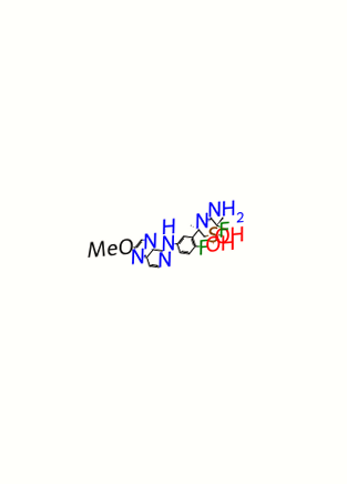 COc1cnc2c(Nc3ccc(F)c([C@]4(C)CS(O)(O)[C@@](C)(F)C(N)=N4)c3)nccc2n1